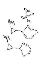 N[C@@H]1C[C@H]1c1ccccc1.N[C@H]1C[C@@H]1c1ccccc1.O=S(=O)(O)O